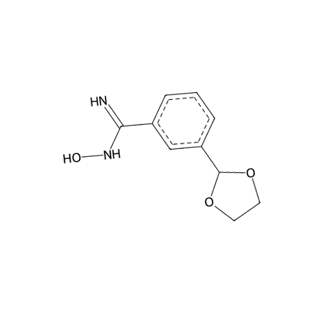 N=C(NO)c1cccc(C2OCCO2)c1